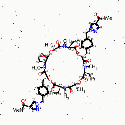 CNC(=O)c1cnn(Cc2ccc(C[C@H]3OC(=O)[C@H](CC(C)C)N(C)C(=O)[C@@H](C)OC(=O)[C@H](CC(C)C)N(C)C(=O)[C@@H](Cc4ccc(Cn5cc(C(=O)NC)cn5)cc4)OC(=O)[C@H](CC(C)C)N(C)C(=O)[C@@H](C)OC(=O)[C@H](CC(C)C)N(C)C3=O)cc2)c1